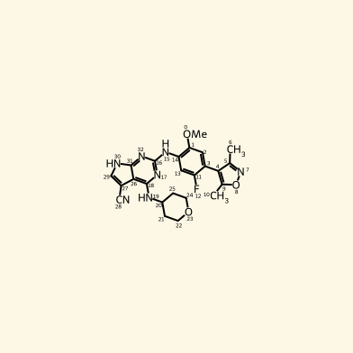 COc1cc(-c2c(C)noc2C)c(F)cc1Nc1nc(NC2CCOCC2)c2c(C#N)c[nH]c2n1